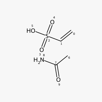 C=CS(=O)(=O)O.CC(N)=O